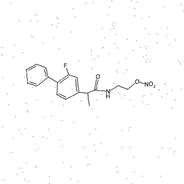 CC(C(=O)NCCO[N+](=O)[O-])c1ccc(-c2ccccc2)c(F)c1